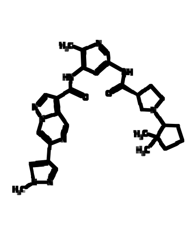 Cc1ncc(NC(=O)[C@H]2CCN(C3CCCC3(C)C)C2)cc1NC(=O)c1cnn2cc(-c3cnn(C)c3)ncc12